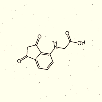 O=C(O)CNc1cccc2c1C(=O)CC2=O